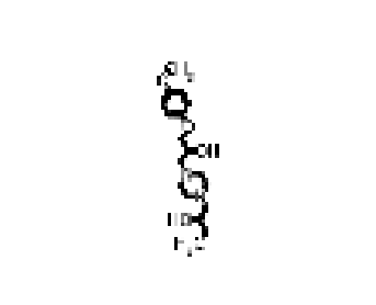 CCC(O)CN1CCN(CC(O)COc2ccc(OC)cc2)CC1